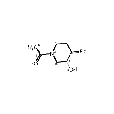 CC(=O)N1CC[C@@H](F)[C@H](O)C1